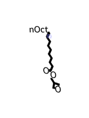 CCCCCCCC/C=C/CCCCCCCC(=O)OCC1COC1